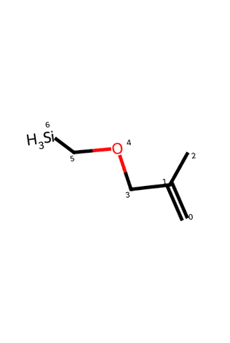 C=C(C)COC[SiH3]